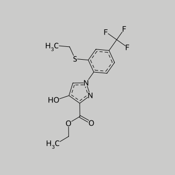 CCOC(=O)c1nn(-c2ccc(C(F)(F)F)cc2SCC)cc1O